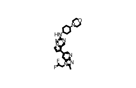 Cc1nc2ncc(-c3ccn4nc(N[C@H]5CC[C@H](N6CCOCC6)CC5)ncc34)cc2n1CC(F)F